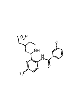 O=C(O)CC1CCNC(c2nc(C(F)(F)F)ccc2NC(=O)c2cccc(Cl)c2)C1